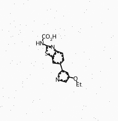 CCOc1cncc(-c2ccc3nc(NC(=O)O)sc3c2)c1